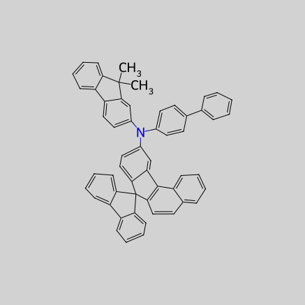 CC1(C)c2ccccc2-c2ccc(N(c3ccc(-c4ccccc4)cc3)c3ccc4c(c3)-c3c(ccc5ccccc35)C43c4ccccc4-c4ccccc43)cc21